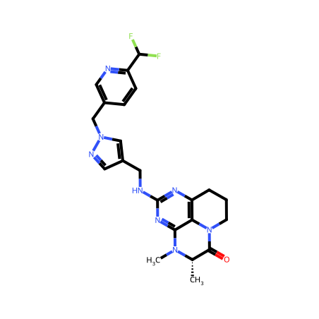 C[C@H]1C(=O)N2CCCc3nc(NCc4cnn(Cc5ccc(C(F)F)nc5)c4)nc(c32)N1C